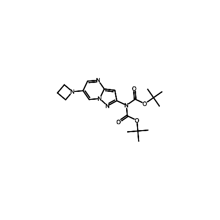 CC(C)(C)OC(=O)N(C(=O)OC(C)(C)C)c1cc2ncc(N3CCC3)cn2n1